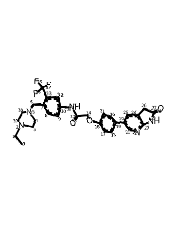 CCN1CCN(Cc2ccc(NC(=O)COc3ccc(-c4cnc5c(c4)CC(=O)N5)cc3)cc2C(F)(F)F)CC1